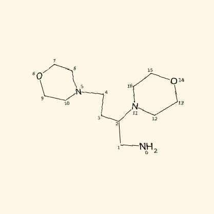 NCC(CCN1CCOCC1)N1CCOCC1